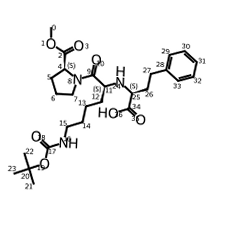 COC(=O)[C@@H]1CCCN1C(=O)[C@H](CCCCNC(=O)OC(C)(C)C)N[C@@H](CCc1ccccc1)C(=O)O